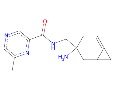 Cc1cncc(C(=O)NCC2(N)CC=C3CC3C2)n1